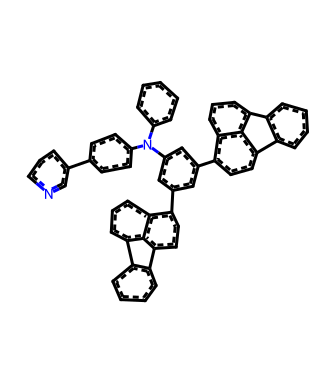 c1ccc(N(c2ccc(-c3cccnc3)cc2)c2cc(-c3ccc4c5c(cccc35)-c3ccccc3-4)cc(-c3ccc4c5c(cccc35)-c3ccccc3-4)c2)cc1